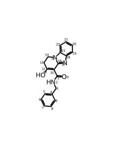 O=C(NCc1ccccc1)C1=C(O)CCn2c1nc1ccccc12